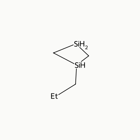 CCC[SiH]1C[SiH2]C1